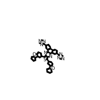 c1ccc2c(c1)oc1ccc(-c3sc(-c4ccc5oc6ccccc6c5c4)c4nc5c6cc(-c7ncncn7)ccc6c6ccc(-c7ncncn7)cc6c5nc34)cc12